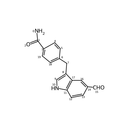 NC(=O)c1ccc(Cc2c[nH]c3ccc(C=O)cc23)cc1